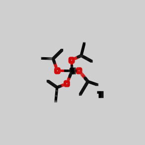 CC(C)O[Si](OC(C)C)(OC(C)C)OC(C)C.[Ti]